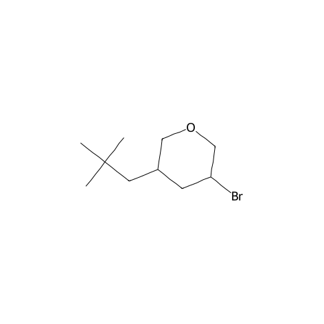 CC(C)(C)CC1COCC(Br)C1